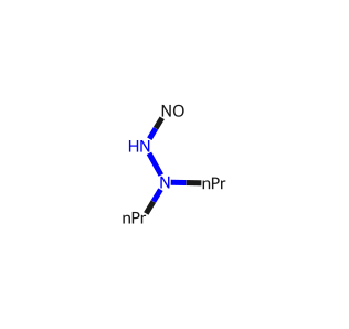 CCCN(CCC)NN=O